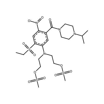 CCS(=O)(=O)c1cc([N+](=O)[O-])c(C(=O)N2CCN(C(C)C)CC2)cc1N(CCOS(C)(=O)=O)CCOS(C)(=O)=O